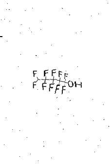 OC(F)(F)C(F)(F)C(F)(F)C(F)(F)C(F)F